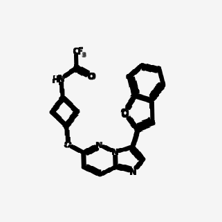 O=C(NC1CC(Oc2ccc3ncc(-c4cc5ccccc5o4)n3n2)C1)C(F)(F)F